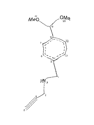 C#CCNCc1ccc(C(OC)OC)cc1